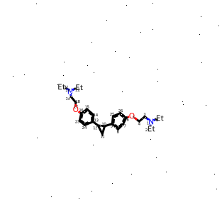 CCN(CC)CCOc1ccc(C2CC2c2ccc(OCCN(CC)CC)cc2)cc1